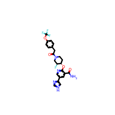 NC(=O)c1cc(-c2c[nH]cn2)cnc1O[C@H]1CCN(C(=O)Cc2ccc(OC(F)(F)F)cc2)C[C@@H]1F